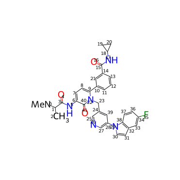 CNC(C)C(=O)Nc1ccc(-c2cccc(C(=O)NC3CC3)c2)n(Cc2cncc(-n3ccc4cc(F)ccc43)c2)c1=O